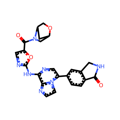 O=C1NCc2cc(-c3cnc(Nc4ncc(C(=O)N5CC6CC5CO6)o4)c4nccn34)ccc21